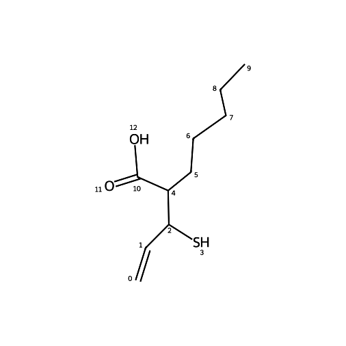 C=CC(S)C(CCCCC)C(=O)O